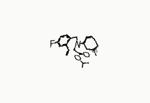 C=Cc1cc(F)ccc1CN(CC(=O)OC(C)C)C1=C=CCC[C@@H](C)C1